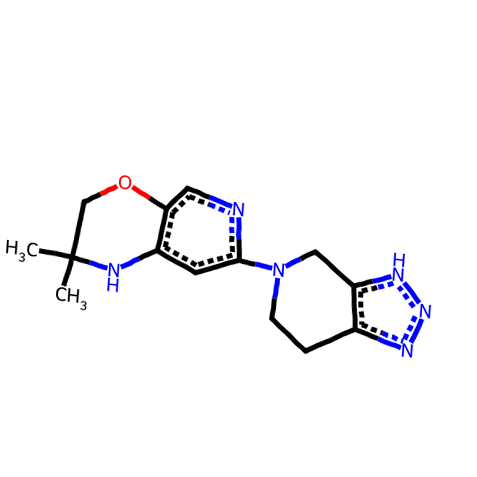 CC1(C)COc2cnc(N3CCc4nn[nH]c4C3)cc2N1